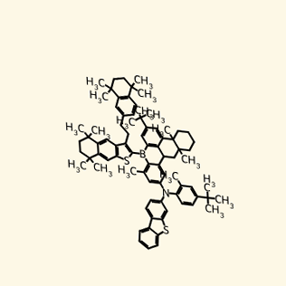 Cc1cc(C(C)(C)C)ccc1N(c1cc(C)c2c(c1)C1CC3(C)CCCCC3(C)c3cc(C(C)(C)C)cc(c31)B2c1sc2cc3c(cc2c1CCc1ccc2c(c1)C(C)(C)CCC2(C)C)C(C)(C)CCC3(C)C)c1ccc2c(c1)sc1ccccc12